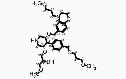 COCCCOCc1ccc(C2[C@@H](OCc3ccc4c(c3)N(CCCOC)CCO4)CNC[C@H]2OCC(O)COC)cc1